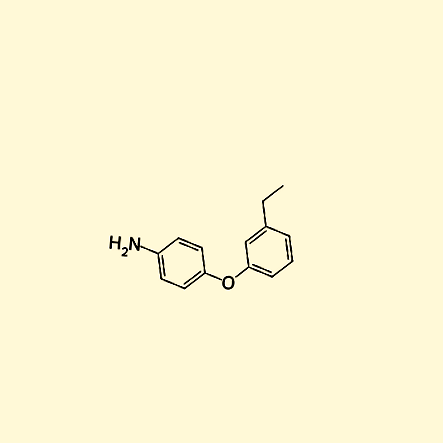 CCc1cccc(Oc2ccc(N)cc2)c1